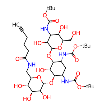 C#CCCCC(=O)NCC1O[C@H](O[C@@H]2C(NC(=O)OC(C)(C)C)C[C@@H](NC(=O)OC(C)(C)C)C(O[C@@H]3O[C@H](CO)[C@H](O)C(NC(=O)OC(C)(C)C)C3O)[C@H]2O)C(O)[C@@H](O)[C@@H]1O